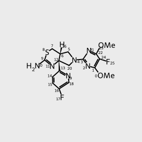 COc1nc(N2C[C@H]3CSC(N)=N[C@@]3(c3ccc(F)cn3)C2)nc(OC)c1F